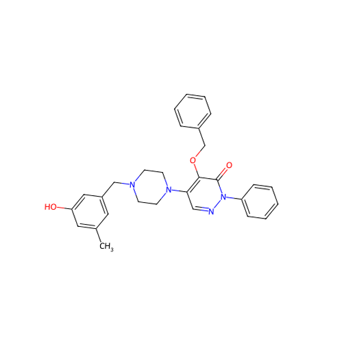 Cc1cc(O)cc(CN2CCN(c3cnn(-c4ccccc4)c(=O)c3OCc3ccccc3)CC2)c1